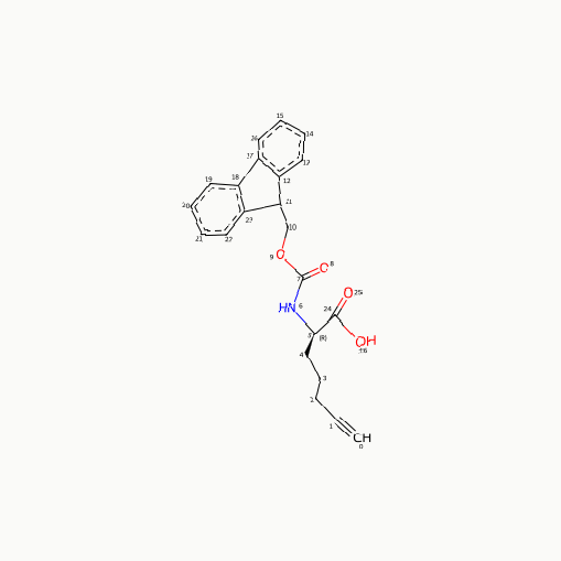 C#CCCC[C@@H](NC(=O)OCC1c2ccccc2-c2ccccc21)C(=O)O